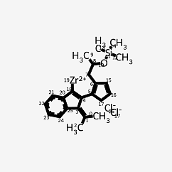 CC(C)=C1C(C2=C(CC(C)O[Si](C)(C)C)C=CC2)=[C]([Zr+2])c2ccccc21.[Cl-].[Cl-]